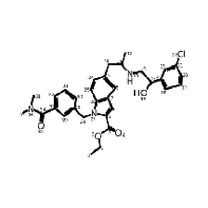 CCOC(=O)c1cc2cc(CC(C)NCC(O)c3cccc(Cl)c3)ccc2n1Cc1cccc(C(=O)N(C)C)c1